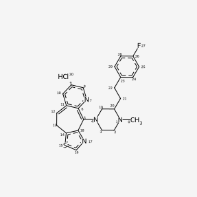 CN1CCN(C2=c3ncccc3=CCc3scnc32)CC1CCc1ccc(F)cc1.Cl